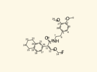 COc1ccc(CCNC(=O)C(=COCF)c2ccc3c(c2)CCCC3)cc1OC